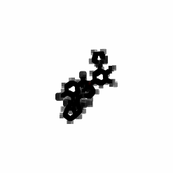 O=C(Nc1cc(F)c(F)c(-n2cccn2)c1)c1ccc(Cl)c(S(=O)(=O)[C@H]2C3CCC2C[C@](O)(Cn2cccn2)C3)c1